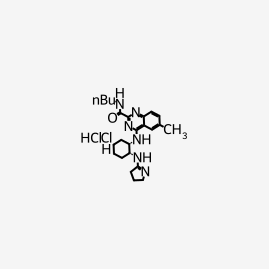 CCCCNC(=O)c1nc(N[C@H]2CCCC[C@H]2NC2=NCCC2)c2cc(C)ccc2n1.Cl.Cl